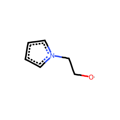 [O]CCn1cccc1